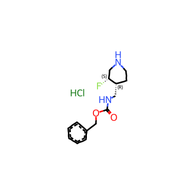 Cl.O=C(NC[C@H]1CCNC[C@H]1F)OCc1ccccc1